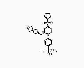 C[C@](O)(c1ccc(N2CCN(S(=O)(=O)c3cccs3)C[C@@H]2CN2CC3(COC3)C2)cc1)C(F)(F)F